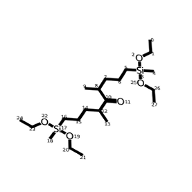 CCO[Si](C)(CCCC(C)C(=O)C(C)CCC[Si](C)(OCC)OCC)OCC